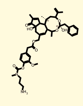 C=C(C)C1C[C@@H](C)C2C(C=C(COC(=O)Cc3ccc(OC(=O)N(C)CCCN)c(OC)c3)CC3(O)C(=O)C(C)=CC23)C(C)O[C@](O)(Cc2ccccc2)O1